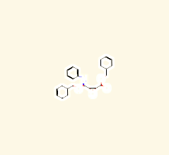 O=C(OCC1CC=CCC1)C1OC1C(=Nc1ccccc1)OCC1CC=CCC1